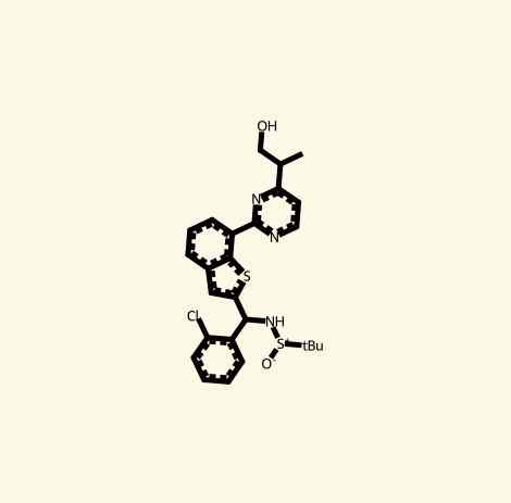 CC(CO)c1ccnc(-c2cccc3cc(C(N[S+]([O-])C(C)(C)C)c4ccccc4Cl)sc23)n1